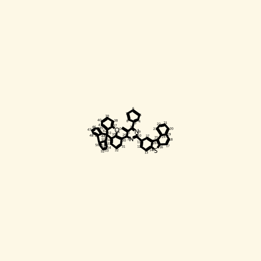 C=C1C(c2ccccc2)=NC(c2ccc3sc4ccc5ccccc5c4c3c2)=NC1c1cccc2c1Oc1ccccc1C21c2ccccc2-c2ccccc21